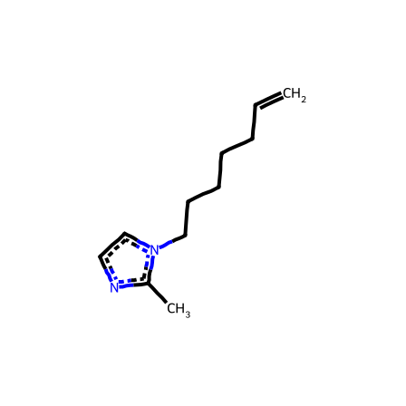 C=CCCCCCn1ccnc1C